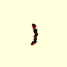 c1ccc2ncc(-c3ccc4cc(-c5ccc6nc(-c7ccc(-c8ccnc9c8ccc8cccnc89)cc7)ccc6c5)ccc4n3)cc2c1